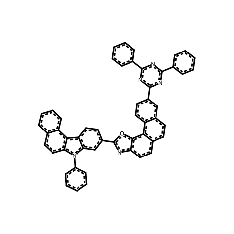 c1ccc(-c2nc(-c3ccccc3)nc(-c3ccc4c(ccc5ccc6nc(-c7ccc8c9c%10ccccc%10ccc9n(-c9ccccc9)c8c7)oc6c54)c3)n2)cc1